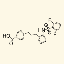 O=C(O)c1ccc(CCCc2ccccc2NS(=O)(=O)c2c(F)cccc2F)cc1